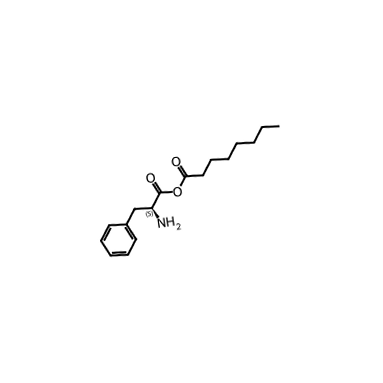 CCCCCCCC(=O)OC(=O)[C@@H](N)Cc1ccccc1